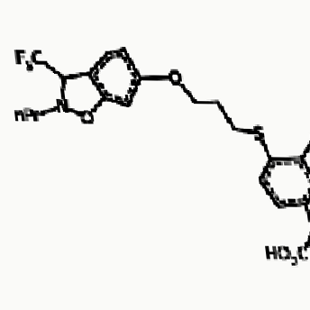 CCCN1Oc2cc(OCCCSc3ccc(CC(=O)O)cc3Cl)ccc2C1C(F)(F)F